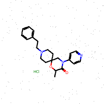 CC1OC2(CCN(CCc3ccccc3)CC2)CN(c2ccncc2)C1=O.Cl